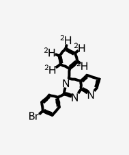 [2H]c1c([2H])c([2H])c(-c2nc(-c3ccc(Br)cc3)nc3ncccc23)c([2H])c1[2H]